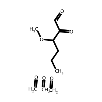 C=O.C=O.C=O.C[CH]CC(OC)C(=O)C=O